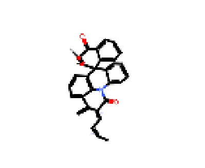 C=c1/c(=C\C=C/C)c(=O)n2c3c(cccc13)C1(c3ccccc3C(=O)c3ccccc31)c1ccccc1-2